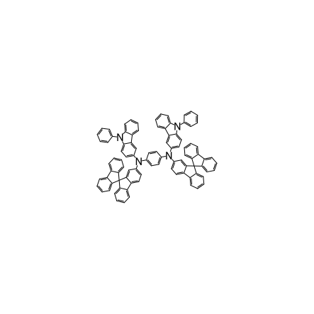 c1ccc(-n2c3ccccc3c3cc(N(c4ccc(N(c5ccc6c(c5)C5(c7ccccc7-c7ccccc75)c5ccccc5-6)c5ccc6c(c5)c5ccccc5n6-c5ccccc5)cc4)c4ccc5c(c4)C4(c6ccccc6-c6ccccc64)c4ccccc4-5)ccc32)cc1